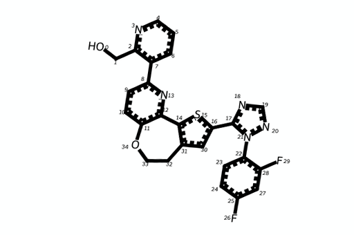 OCc1ncccc1-c1ccc2c(n1)-c1sc(-c3ncnn3-c3ccc(F)cc3F)cc1CCO2